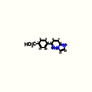 O=C(O)c1ccc(-c2ccc3nccn3n2)cc1